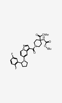 COC(=O)C1(NC(=O)OC(C)(C)C)CCN(C(=O)c2cnn3ccc(N4CCCC4c4cc(F)ccc4F)cc23)CC1